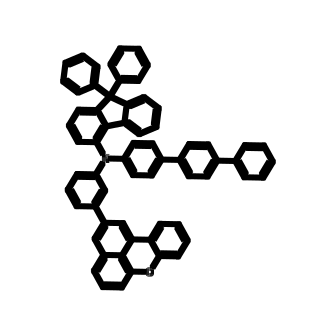 c1ccc(-c2ccc(-c3ccc(N(c4cccc(-c5cc6c7c(cccc7c5)Oc5ccccc5-6)c4)c4cccc5c4-c4ccccc4C5(c4ccccc4)c4ccccc4)cc3)cc2)cc1